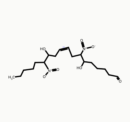 CCCCCC(C(O)C/C=C\CC(C(O)CCCC[C]=O)[N+](=O)[O-])[N+](=O)[O-]